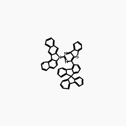 c1ccc2c(c1)-c1ccccc1C21c2ccccc2-c2c(-c3nc(-n4c5cc6ccccc6cc5c5c6ccccc6ccc54)nc4c3sc3ccccc34)cccc21